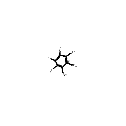 CC(C)c1c(F)c(F)c(F)c(F)c1F